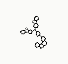 c1ccc2c(c1)ccc1ccc3ccc(-c4ccc(N(c5ccc6c(c5)oc5ccccc56)c5ccc6c(c5)oc5ccccc56)cc4)cc3c12